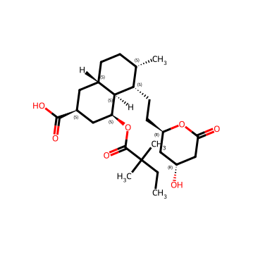 CCC(C)(C)C(=O)O[C@H]1C[C@@H](C(=O)O)C[C@@H]2CC[C@H](C)[C@H](CC[C@@H]3C[C@@H](O)CC(=O)O3)[C@H]21